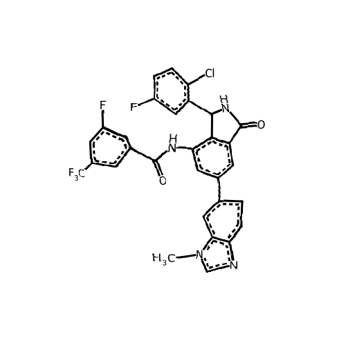 Cn1cnc2ccc(-c3cc(NC(=O)c4cc(F)cc(C(F)(F)F)c4)c4c(c3)C(=O)NC4c3cc(F)ccc3Cl)cc21